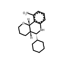 O=[N+]([O-])c1cccc2c1[C@H]1OCCC[C@H]1[C@@H](C1CCCCC1)N2